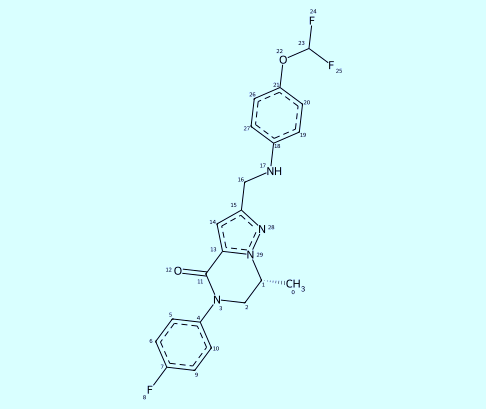 C[C@@H]1CN(c2ccc(F)cc2)C(=O)c2cc(CNc3ccc(OC(F)F)cc3)nn21